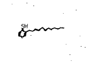 CCCCCCCCCCCCc1ccccc1S